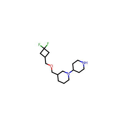 FC1(F)CC(COCC2CCCN(C3CCNCC3)C2)C1